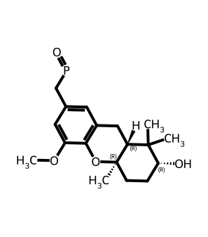 COc1cc(CP=O)cc2c1O[C@]1(C)CC[C@@H](O)C(C)(C)[C@H]1C2